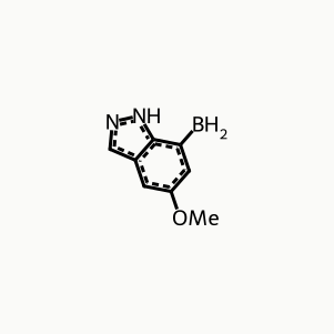 Bc1cc(OC)cc2cn[nH]c12